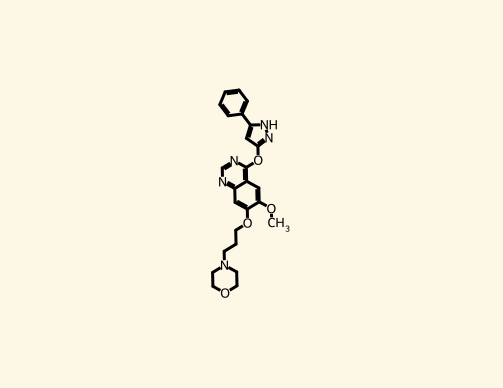 COc1cc2c(Oc3cc(-c4ccccc4)[nH]n3)ncnc2cc1OCCCN1CCOCC1